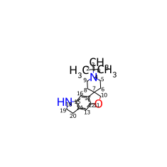 CC(C)(C)N1CCC2(CC1)COc1cc3c(cc12)NCC3